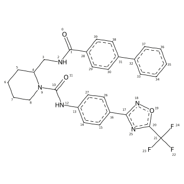 O=C(NCC1CCCCN1C(=O)Nc1ccc(-c2noc(C(F)(F)F)n2)cc1)c1ccc(-c2ccccc2)cc1